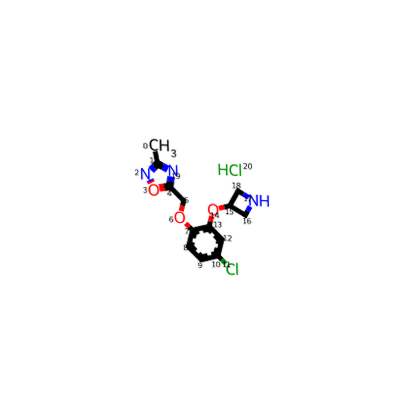 Cc1noc(COc2ccc(Cl)cc2OC2CNC2)n1.Cl